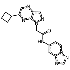 O=C(Cn1ncc2ncc(C3CCC3)nc21)Nc1ccn2ncnc2c1